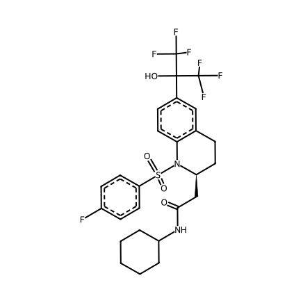 O=C(C[C@@H]1CCc2cc(C(O)(C(F)(F)F)C(F)(F)F)ccc2N1S(=O)(=O)c1ccc(F)cc1)NC1CCCCC1